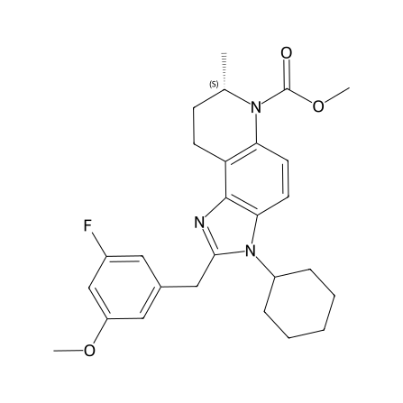 COC(=O)N1c2ccc3c(nc(Cc4cc(F)cc(OC)c4)n3C3CCCCC3)c2CC[C@@H]1C